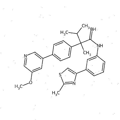 B=C(Nc1cccc(-c2csc(C)n2)c1)C(C)(c1ccc(-c2cncc(OC)c2)cc1)C(C)C